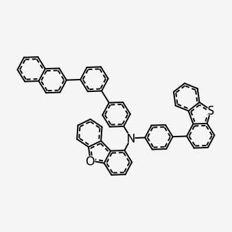 c1cc(-c2ccc(N(c3ccc(-c4cccc5sc6ccccc6c45)cc3)c3cccc4oc5ccccc5c34)cc2)cc(-c2ccc3ccccc3c2)c1